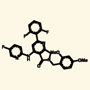 COc1ccc(CN2Cc3nc(-c4c(F)cccc4F)cc(Nc4ccc(F)cn4)c3C2=O)c(OC)c1